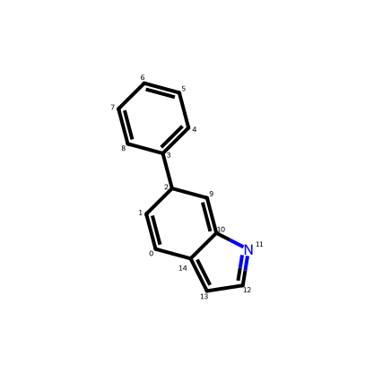 C1=CC(c2ccccc2)C=C2N=CC=C12